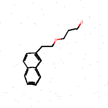 [O]CCCOCCc1ccc2ccccc2c1